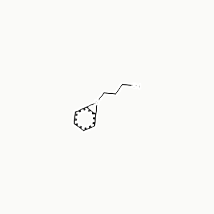 OCCCN1c2ccccc21